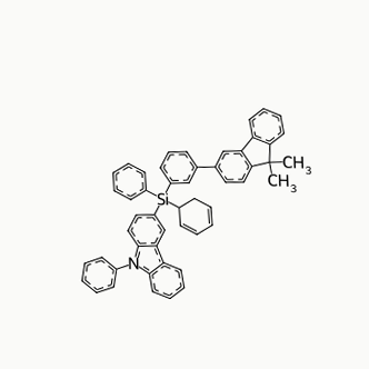 CC1(C)c2ccccc2-c2cc(-c3cccc([Si](c4ccccc4)(c4ccc5c(c4)c4ccccc4n5-c4ccccc4)C4C=CC=CC4)c3)ccc21